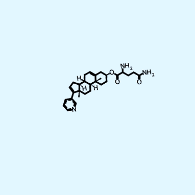 C[C@]12CC[C@H](OC(=O)C(N)CCC(N)=O)CC1=CC[C@@H]1[C@@H]2CC[C@]2(C)C(c3cccnc3)=CC[C@@H]12